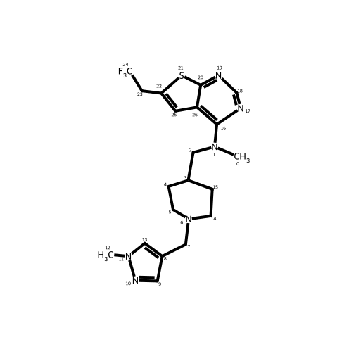 CN(CC1CCN(Cc2cnn(C)c2)CC1)c1ncnc2sc(CC(F)(F)F)cc12